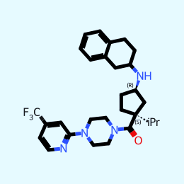 CC(C)[C@]1(C(=O)N2CCN(c3cc(C(F)(F)F)ccn3)CC2)CC[C@@H](NC2CCc3ccccc3C2)C1